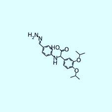 CC(C)Oc1ccc(C(Nc2ccc(C=NN)cc2)C(=O)O)cc1OC(C)C